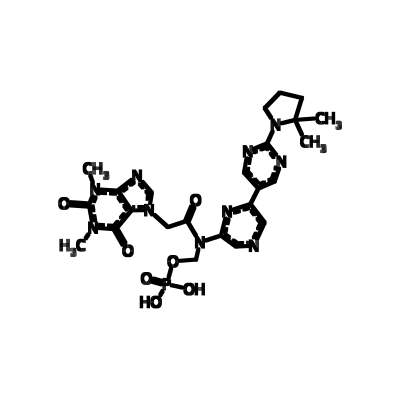 Cn1c(=O)c2c(ncn2CC(=O)N(COP(=O)(O)O)c2cncc(-c3cnc(N4CCCC4(C)C)nc3)n2)n(C)c1=O